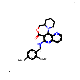 COc1ccc(CNc2nc3cccnc3c3c2C(=O)OCC2CCCCN32)c(OC)c1